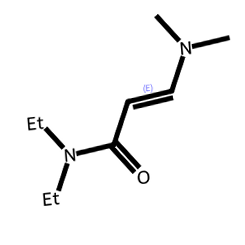 CCN(CC)C(=O)/C=C/N(C)C